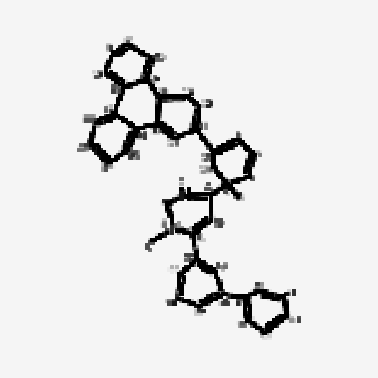 CN1CN=C(C2(C)C=CC=C(c3ccc4c5ccccc5c5ccccc5c4c3)C2)C=C1c1cccc(-c2ccccc2)c1